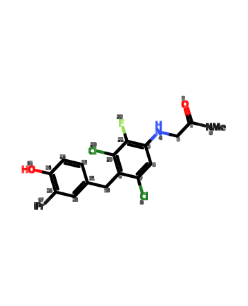 CNC(=O)CNc1cc(Cl)c(Cc2ccc(O)c(C(C)C)c2)c(Cl)c1F